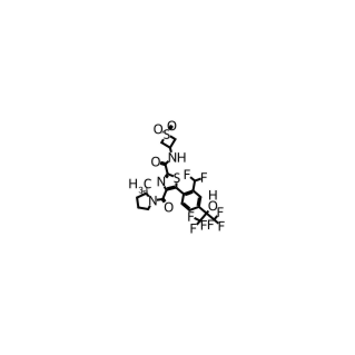 C[C@H]1CCCN1C(=O)c1nc(C(=O)NC2CS(=O)(=O)C2)sc1-c1ccc(C(O)(C(F)(F)F)C(F)(F)F)cc1C(F)F